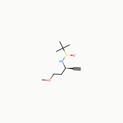 C#C[C@@H](CCOC)N[S@+]([O-])C(C)(C)C